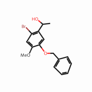 COc1cc(Br)c(C(C)O)cc1OCc1ccccc1